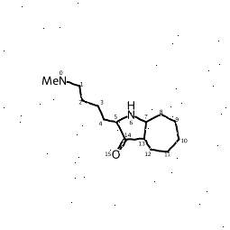 CNCCCCC1NC2CCCCCC2C1=O